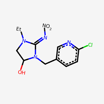 CCN1CC(O)N(Cc2ccc(Cl)nc2)C1=N[N+](=O)[O-]